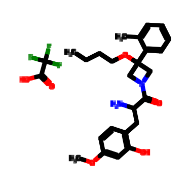 CCCCOC1(c2ccccc2C)CN(C(=O)C(N)Cc2ccc(OC)cc2O)C1.O=C(O)C(F)(F)F